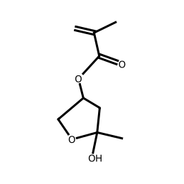 C=C(C)C(=O)OC1COC(C)(O)C1